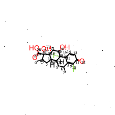 C[C@@H]1C[C@H]2[C@@H]3C[C@H](C)C4=C(F)C(=O)C=C[C@]4(C)[C@@]3(F)[C@@H](O)C[C@]2(C)[C@@]1(O)C(=O)O